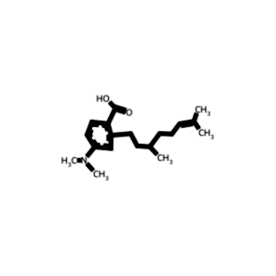 CC(C)=CCCC(C)CCc1cc(N(C)C)ccc1C(=O)O